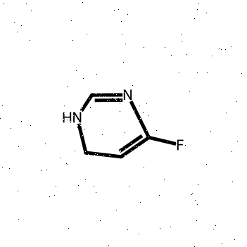 FC1=CCNC=N1